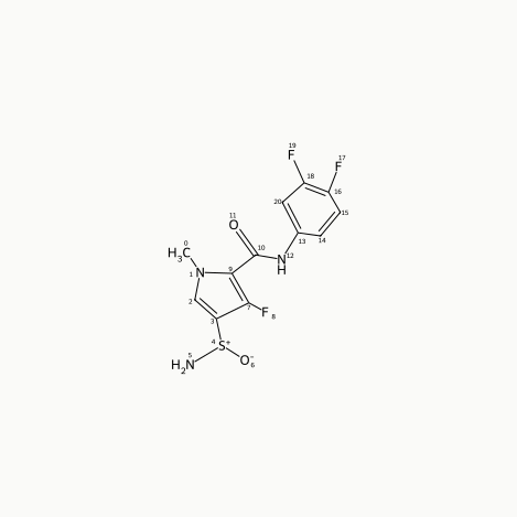 Cn1cc([S+](N)[O-])c(F)c1C(=O)Nc1ccc(F)c(F)c1